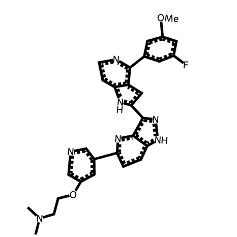 COc1cc(F)cc(-c2nccc3[nH]c(-c4n[nH]c5ccc(-c6cncc(OCCN(C)C)c6)nc45)cc23)c1